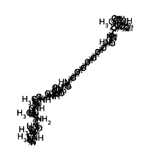 CC(=O)N1c2ccc(-c3cnc(C(=O)NCCOCCOCCOCCOCCOCCOCCOCCNC(=O)CCNC(=O)c4nc(NC(=O)CCNC(=O)c5cc(NC(=O)c6nc(C(N)CCNC(=O)c7cc(Nc8nccn8C)cn7C)cn6C)cn5C)cn4C)nc3)cc2N(Cc2ccccc2CO)C[C@@H]1C1CC1